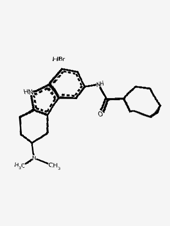 Br.CN(C)C1CCc2[nH]c3ccc(NC(=O)C4CCCCC4)cc3c2C1